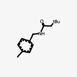 Cc1ccc(CNC(=O)CC(C)(C)C)cc1